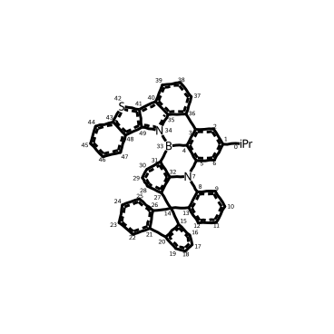 CC(C)c1cc2c3c(c1)N1c4ccccc4C4(c5ccccc5-c5ccccc54)c4cccc(c41)B3n1c3c-2cccc3c2sc3ccccc3c21